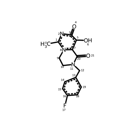 Cc1nc(=O)c(O)c2n1CCN(Cc1ccc(F)cc1)C2=O